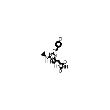 O=C1NC(=O)/C(=C/c2cnn3c(NC4CC4)nc(OCc4ccc(Cl)cc4)nc23)N1